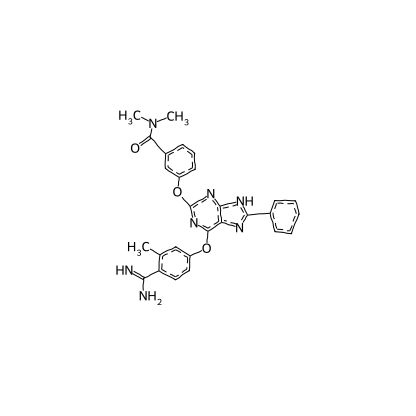 Cc1cc(Oc2nc(Oc3cccc(C(=O)N(C)C)c3)nc3[nH]c(-c4ccccc4)nc23)ccc1C(=N)N